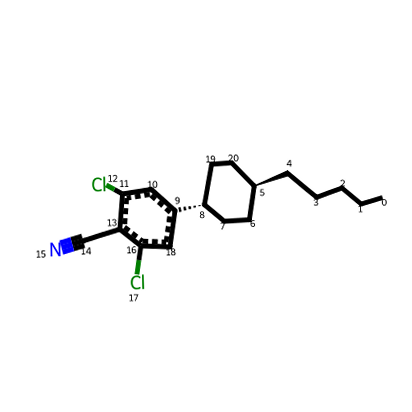 CCCCC[C@H]1CC[C@H](c2cc(Cl)c(C#N)c(Cl)c2)CC1